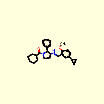 COc1ccc(C2CC2)cc1CNC1CCN(C(=O)C2CCCCC2)C1c1ccccc1